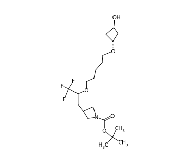 CC(C)(C)OC(=O)N1CC(CC(OCCCCCO[C@H]2C[C@H](O)C2)C(F)(F)F)C1